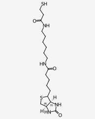 O=C(CCS)NCCCCCCNC(=O)CCCCC1SC[C@@H]2NC(=O)N[C@H]12